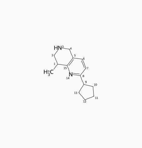 CC1CNCc2ccc(C3CCCC3)nc21